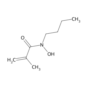 C=C(C)C(=O)N(O)CCCC